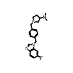 CN(C)C1CCN(Cc2ccc(Cn3cnc4ccc(F)cc43)cc2)C1